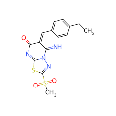 CCc1ccc(/C=C2\C(=N)N3N=C(S(C)(=O)=O)SC3=NC2=O)cc1